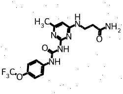 Cc1cc(NCCC(N)=O)nc(NC(=O)Nc2ccc(OC(F)(F)F)cc2)n1